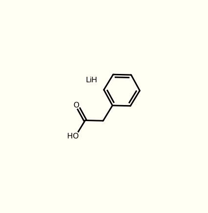 O=C(O)Cc1ccccc1.[LiH]